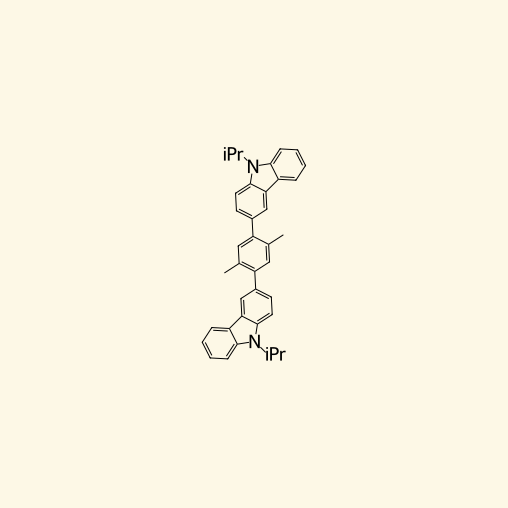 Cc1cc(-c2ccc3c(c2)c2ccccc2n3C(C)C)c(C)cc1-c1ccc2c(c1)c1ccccc1n2C(C)C